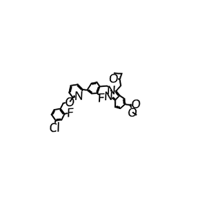 COC(=O)c1ccc2nn(Cc3ccc(-c4cccc(OCc5ccc(Cl)cc5F)n4)cc3F)c(CC3CCO3)c2c1